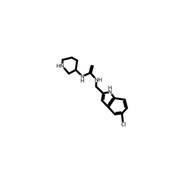 C=C(NCc1cc2cc(Cl)ccc2[nH]1)NC1CCCNC1